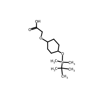 CC(C)(C)[Si](C)(C)OC1CCC(OCC(=O)O)CC1